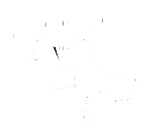 CC(C)(C)COc1ccccc1C(=O)N1CC[C@@H](CC(C)(C)C)C1